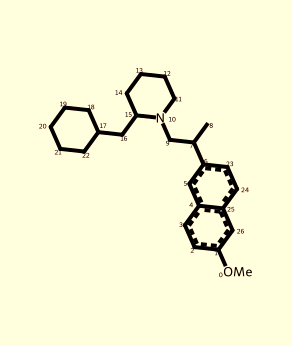 COc1ccc2cc(C(C)CN3CCCCC3CC3CCCCC3)ccc2c1